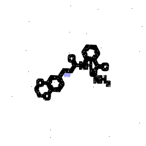 NOC(=O)c1ccccc1NC(=O)/C=C/c1ccc2c(c1)OCCO2